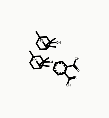 CC12CCC(C(O)C1)C(C)(C)N2.CC12CCC(C(O)C1)C(C)(C)N2.O=C(O)c1ccccc1C(=O)O